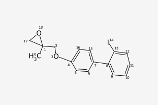 CC1(COc2ccc(-c3ccccc3I)cc2)CO1